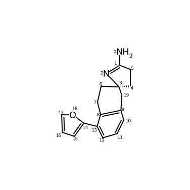 NC1=N[C@]2(CC1)CCc1c(cccc1-c1ccco1)C2